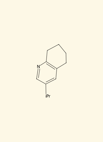 CC(C)c1cnc2c(c1)CCCC2